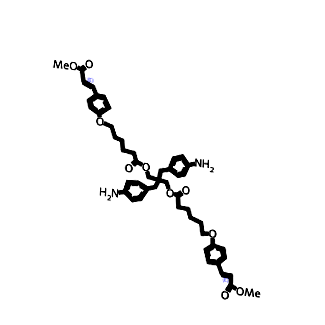 COC(=O)/C=C/c1ccc(OCCCCCC(=O)OCC(COC(=O)CCCCCOc2ccc(/C=C/C(=O)OC)cc2)(Cc2ccc(N)cc2)Cc2ccc(N)cc2)cc1